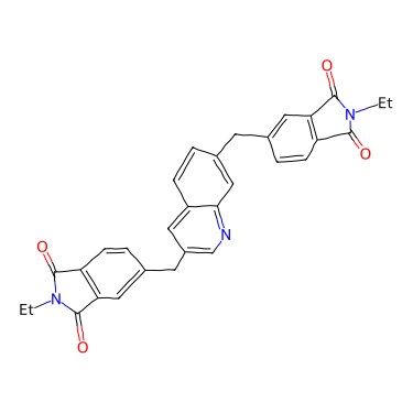 CCN1C(=O)c2ccc(Cc3cnc4cc(Cc5ccc6c(c5)C(=O)N(CC)C6=O)ccc4c3)cc2C1=O